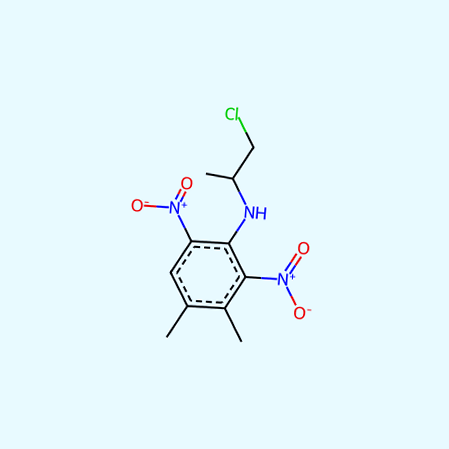 Cc1cc([N+](=O)[O-])c(NC(C)CCl)c([N+](=O)[O-])c1C